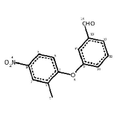 Cc1cc([N+](=O)[O-])ccc1Oc1cccc(C=O)c1